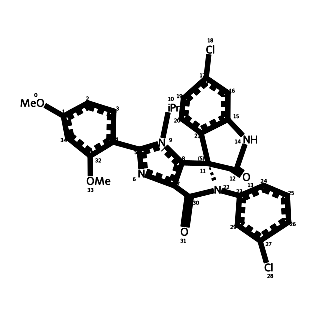 COc1ccc(-c2nc3c(n2C(C)C)[C@@]2(C(=O)Nc4cc(Cl)ccc42)N(c2cccc(Cl)c2)C3=O)c(OC)c1